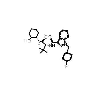 CC(C)(C)[C@H](NC(=O)c1nn(Cc2ccc(F)cc2)c2ccccc12)C(=O)N[C@H]1CCCC[C@@H]1O